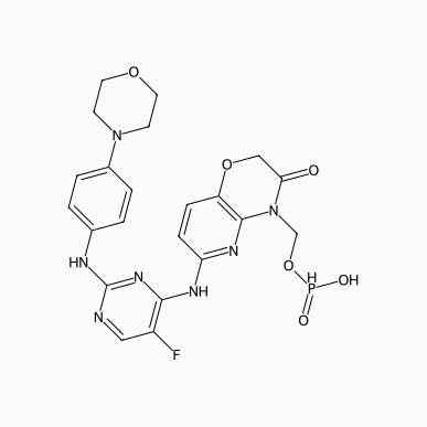 O=C1COc2ccc(Nc3nc(Nc4ccc(N5CCOCC5)cc4)ncc3F)nc2N1CO[PH](=O)O